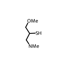 CNCC(S)COC